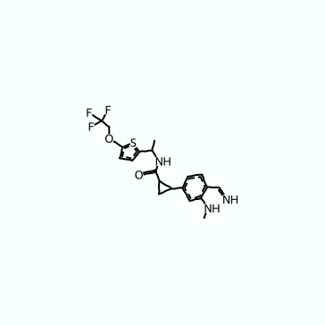 CNc1cc(C2CC2C(=O)NC(C)c2ccc(OCC(F)(F)F)s2)ccc1C=N